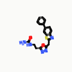 NC(=O)NCCc1nnc(Cc2nc3ccc(-c4ccccc4)cc3s2)o1